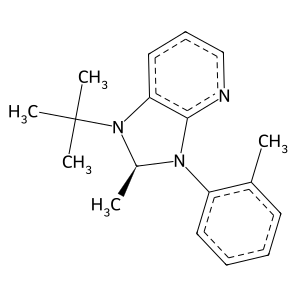 Cc1ccccc1N1c2ncccc2N(C(C)(C)C)[C@@H]1C